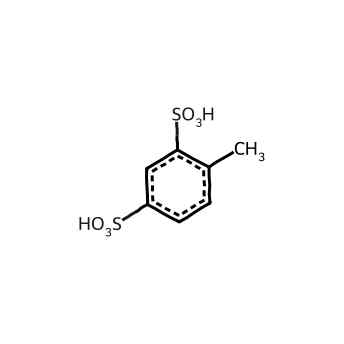 Cc1ccc(S(=O)(=O)O)cc1S(=O)(=O)O